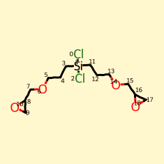 Cl[Si](Cl)(CCCOCC1CO1)CCCOCC1CO1